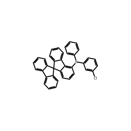 Clc1cccc(N(c2ccccc2)c2cccc3c2-c2ccccc2C32c3ccccc3-c3ccccc32)c1